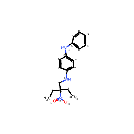 CCC(CC)(CNc1ccc(Nc2ccccc2)cc1)[N+](=O)[O-]